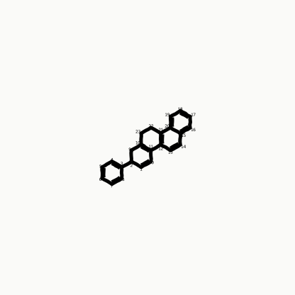 C1=CC(c2ccccc2)CC2=C1c1ccc3ccccc3c1CC2